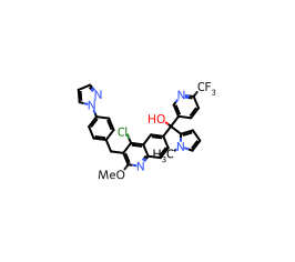 COc1nc2ccc(C(O)(c3ccc(C(F)(F)F)nc3)c3cccn3C)cc2c(Cl)c1Cc1ccc(-n2cccn2)cc1